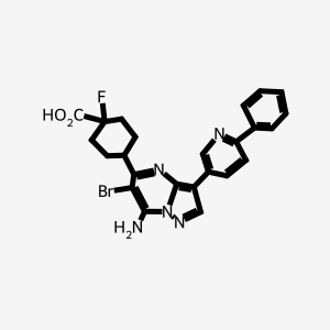 Nc1c(Br)c(C2CCC(F)(C(=O)O)CC2)nc2c(-c3ccc(-c4ccccc4)nc3)cnn12